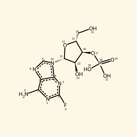 Nc1nc(F)nc2c1ncn2[C@@H]1O[C@H](CO)[C@@H](OP(=O)(O)O)[C@H]1O